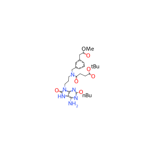 CCCCOc1nc(N)c2[nH]c(=O)n(CCCN(Cc3cccc(CC(=O)OC)c3)C(=O)CCC(=O)OC(C)(C)C)c2n1